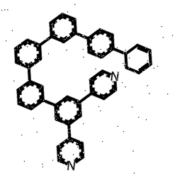 C1=CCC(c2ccc(-c3cccc(-c4cccc(-c5cccc(-c6cc(-c7ccncc7)cc(-c7ccncc7)c6)c5)c4)c3)cc2)C=C1